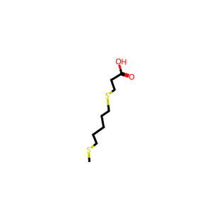 CSCCCCCSCCC(=O)O